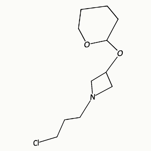 ClCCCN1CC(OC2CCCCO2)C1